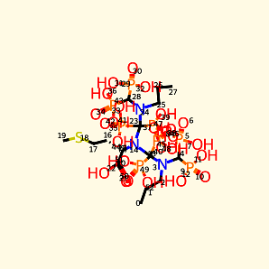 CCCN(C(P(=O)(O)O)P(=O)(O)O)C(N([C@@H](CCSC)C(=O)O)C(N(CCC)C(P(=O)(O)O)P(=O)(O)O)(P(=O)(O)O)P(=O)(O)O)(P(=O)(O)O)P(=O)(O)O